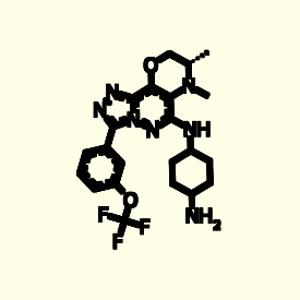 C[C@H]1COc2c(c(NC3CCC(N)CC3)nn3c(-c4cccc(OC(F)(F)F)c4)nnc23)N1C